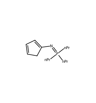 CCCP(CCC)(CCC)=NC1=CC=CC1